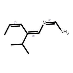 C\C=C/C(=C\N=C/N)C(C)C